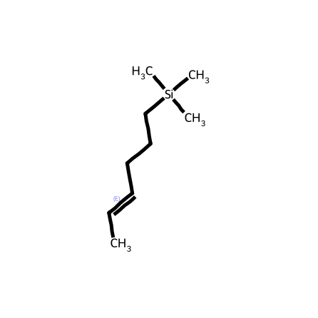 C/C=C/CCC[Si](C)(C)C